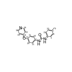 Cc1ccc(NC(=O)Nc2ccc(Oc3ccncc3)cc2)cc1